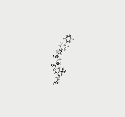 O=C(CNC(=O)c1ccc(NCCO)c(C(F)(F)F)c1)NC1CN([C@H]2CC[C@@H](c3ccccc3)CC2)C1